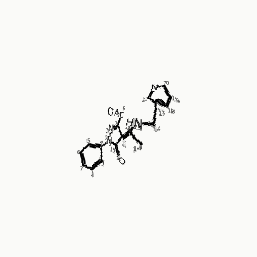 CC(=O)OC1=NN(c2ccccc2)C(=O)C1=C(C)NCc1cccnc1